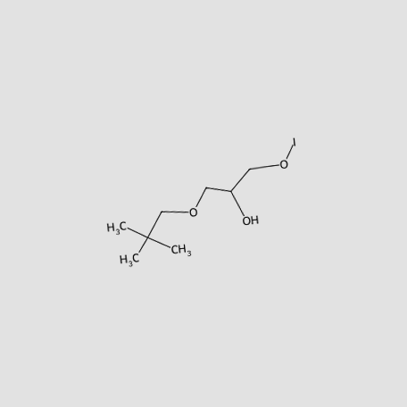 CC(C)(C)COCC(O)COI